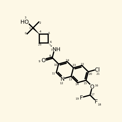 CC(C)(O)[C@H]1C[C@H](NC(=O)c2cnc3cc(OC(F)F)c(Cl)cc3c2)C1